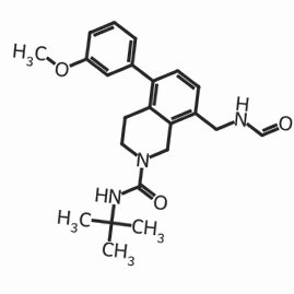 COc1cccc(-c2ccc(CNC=O)c3c2CCN(C(=O)NC(C)(C)C)C3)c1